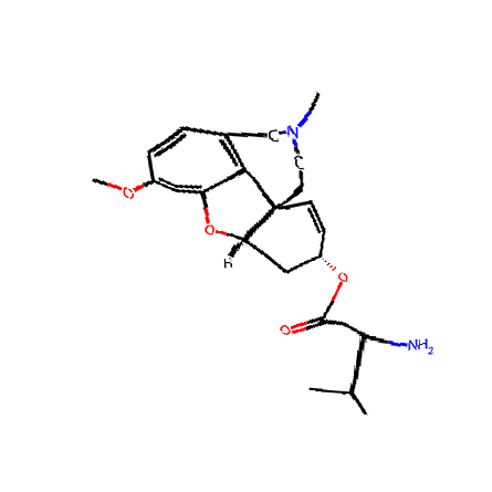 COc1ccc2c3c1O[C@H]1C[C@@H](OC(=O)C(N)C(C)C)C=C[C@@]31CCN(C)C2